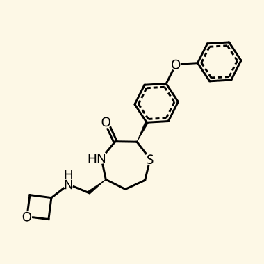 O=C1N[C@H](CNC2COC2)CCS[C@@H]1c1ccc(Oc2ccccc2)cc1